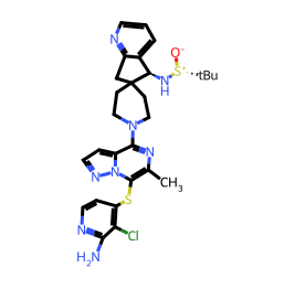 Cc1nc(N2CCC3(CC2)Cc2ncccc2[C@H]3N[S@+]([O-])C(C)(C)C)c2ccnn2c1Sc1ccnc(N)c1Cl